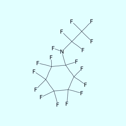 FN(C(F)(F)C(F)(F)F)C1(F)C(F)(F)C(F)(F)C(F)(F)C(F)(F)C1(F)F